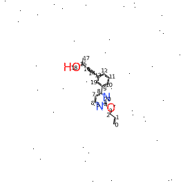 C=CCOc1nccc(-c2cccc(C#CC(C)O)c2)n1